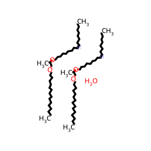 CCCCCCCC/C=C\CCCCCCCCOC(C)COCCCCCCCCCCCCCCCC.CCCCCCCC/C=C\CCCCCCCCOC(C)COCCCCCCCCCCCCCCCC.O